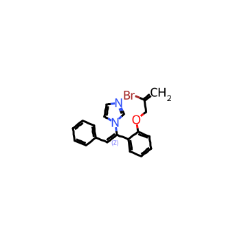 C=C(Br)COc1ccccc1/C(=C/c1ccccc1)n1ccnc1